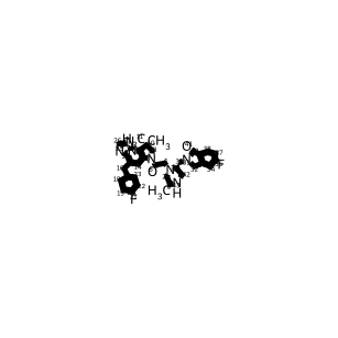 C[C@@H]1CN(CC(=O)N2CC(C)(C)c3c2cc(Cc2ccc(F)cc2)c2ncnn32)[C@@H](CN2Cc3cc(F)ccc3C2=O)CN1